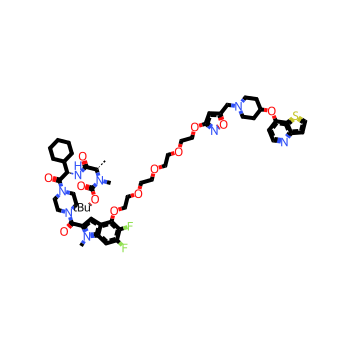 C[C@@H](C(=O)N[C@H](C(=O)N1CCN(C(=O)c2cc3c(OCCOCCOCCOCCOc4cc(CN5CCC(Oc6ccnc7ccsc67)CC5)on4)c(F)c(F)cc3n2C)CC1)C1CCCCC1)N(C)C(=O)OC(C)(C)C